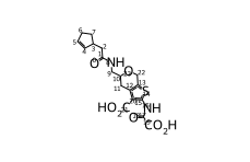 O=C(CC1C=CCC1)NCC1Cc2c(sc(NC(=O)C(=O)O)c2C(=O)O)CO1